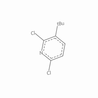 CC(C)(C)c1ccc(Cl)nc1Cl